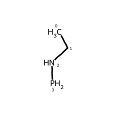 CCNP